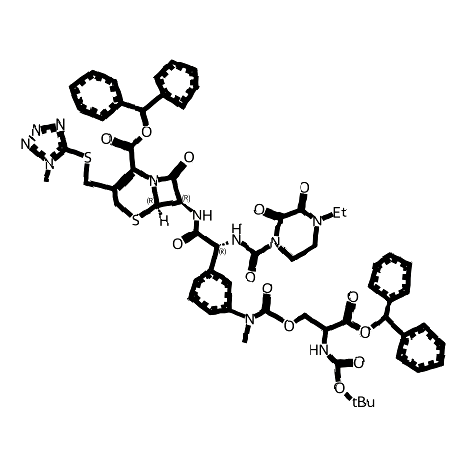 CCN1CCN(C(=O)N[C@@H](C(=O)N[C@@H]2C(=O)N3C(C(=O)OC(c4ccccc4)c4ccccc4)=C(CSc4nnnn4C)CS[C@H]23)c2cccc(N(C)C(=O)OCC(NC(=O)OC(C)(C)C)C(=O)OC(c3ccccc3)c3ccccc3)c2)C(=O)C1=O